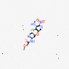 CNc1c([N+](=O)[O-])ncc(Oc2ccnc(NC(=O)COC)c2)c1Cl